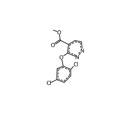 COC(=O)c1ccnnc1Oc1cc(Cl)ccc1Cl